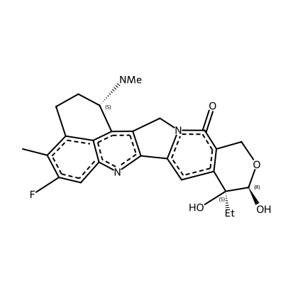 CC[C@]1(O)c2cc3n(c(=O)c2CO[C@H]1O)Cc1c-3nc2cc(F)c(C)c3c2c1[C@@H](NC)CC3